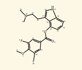 COc1c(F)cc(C(=O)Oc2cccc3[nH]cc(CCN(C)C)c23)cc1F